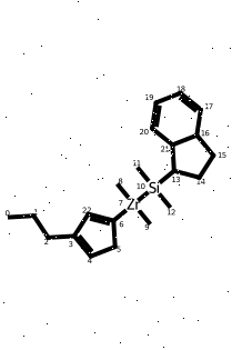 CCCC1=CC[C]([Zr]([CH3])([CH3])[Si](C)(C)C2CCC3C=CC=CC32)=C1